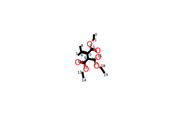 CCOC(=O)C(=C(C)C)C(C(=O)OCC)C(=O)OCC